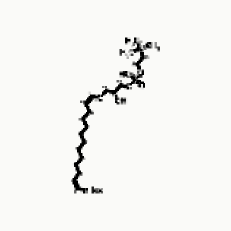 CCCCCC/C=C\CCCCCCCCC/C=C\OC[C@@H](O)COP(=O)(O)OCC[N+](C)(C)C